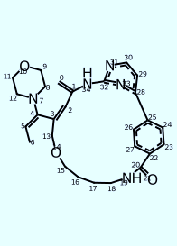 C=C1/C=C(\C(=C/C)N2CCOCC2)COCCCCNC(=O)c2ccc(cc2)-c2ccnc(n2)N1